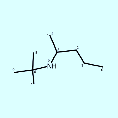 [CH2]CCC([CH2])NC(C)(C)C